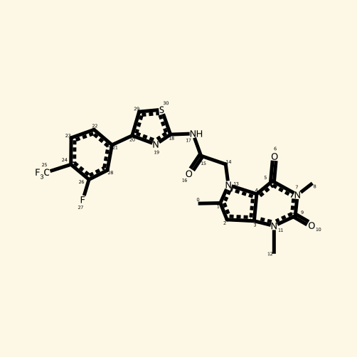 Cc1cc2c(c(=O)n(C)c(=O)n2C)n1CC(=O)Nc1nc(-c2ccc(C(F)(F)F)c(F)c2)cs1